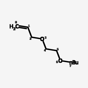 C=CCOCCOCCCC